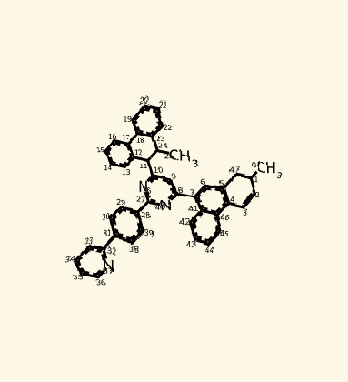 CC1C=Cc2c(cc(-c3cc(C4c5ccccc5-c5ccccc5C4C)nc(-c4ccc(-c5ccccn5)cc4)n3)c3ccccc23)C1